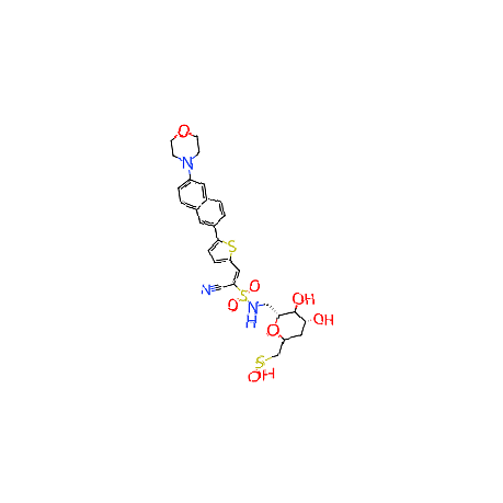 N#C/C(=C\c1ccc(-c2ccc3cc(N4CCOCC4)ccc3c2)s1)S(=O)(=O)NC[C@H]1OC(CSO)C[C@@H](O)[C@@H]1O